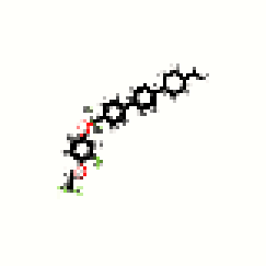 CCC1CCC(c2ccc(-c3ccc(C(F)(F)Oc4ccc(OC=C(F)F)c(F)c4)cc3)cc2)CC1